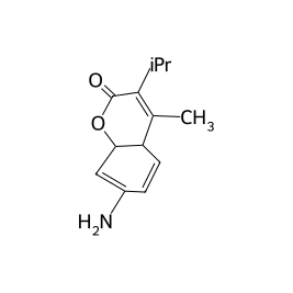 CC1=C(C(C)C)C(=O)OC2C=C(N)C=CC12